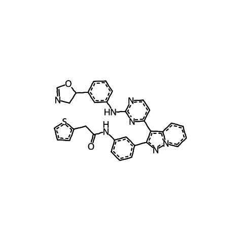 O=C(Cc1cccs1)Nc1cccc(-c2nn3ccccc3c2-c2ccnc(Nc3cccc(C4CN=CO4)c3)n2)c1